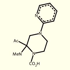 CNC1(C(C)=O)CN(c2ccccn2)CCN1C(=O)O